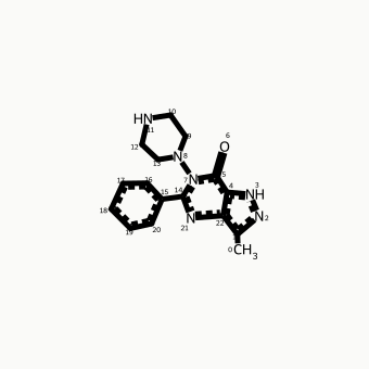 Cc1n[nH]c2c(=O)n(N3CCNCC3)c(-c3ccccc3)nc12